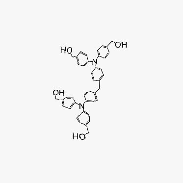 OCc1ccc(N(c2ccc(CO)cc2)c2ccc(Cc3ccc(N(c4ccc(CO)cc4)c4ccc(CO)cc4)cc3)cc2)cc1